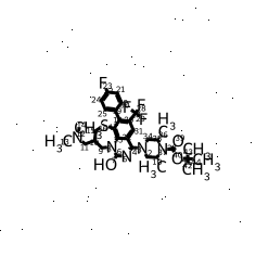 C[C@@H]1CN(C2=NC(O)N3CC(CN(C)C)CSc4c(-c5ccc(F)cc5)c(C(F)(F)F)cc2c43)C[C@H](C)N1C(=O)OC(C)(C)C